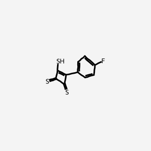 Fc1ccc(-c2c(S)c(=S)c2=S)cc1